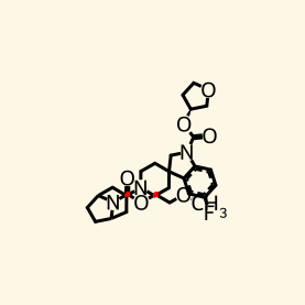 COCCOC(=O)N1C2CCC1CC(N1CCC3(CC1)CN(C(=O)O[C@H]1CCOC1)c1ccc(F)cc13)C2